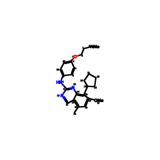 CNCCOc1ccc(Nc2ncc3c(C)cc(OC)c(C4CCCC4)c3n2)cc1